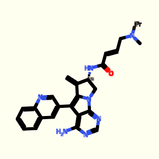 C=C1c2c(-c3cnc4ccccc4c3)c3c(N)ncnc3n2C[C@H]1NC(=O)C=CCN(C)C(C)C